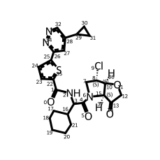 O=C(NC(C(=O)N1C[C@H](Cl)[C@H]2OCC(=O)[C@H]21)C1CCCCC1)c1ccc(-c2cc(C3CC3)cnn2)s1